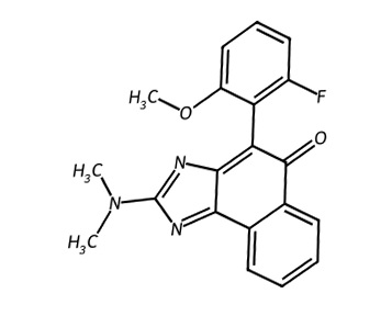 COc1cccc(F)c1C1=C2N=C(N(C)C)N=C2c2ccccc2C1=O